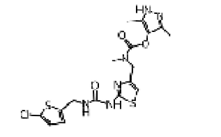 Cc1n[nH]c(C)c1OC(=O)N(C)Cc1csc(NC(=O)NCc2ccc(Cl)s2)n1